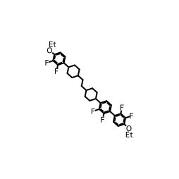 CCOc1ccc(-c2ccc(C3CCC(CCC4CCC(c5ccc(OCC)c(F)c5F)CC4)CC3)c(F)c2F)c(F)c1F